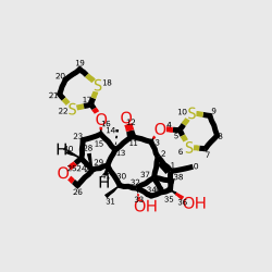 CC1=C2[C@@H](OC3SCCCS3)C(=O)[C@]3(C)[C@@H](OC4SCCCS4)C[C@H]4OC[C@@]4(C)[C@H]3[C@H](C)[C@](O)(C[C@@H]1O)C2(C)C